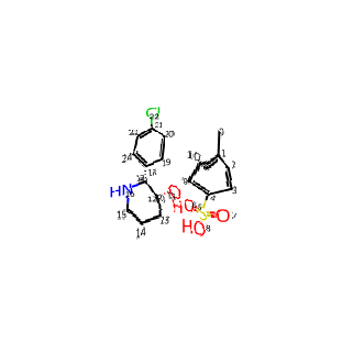 Cc1ccc(S(=O)(=O)O)cc1.O[C@@H]1CCCN[C@@H]1c1ccc(Cl)cc1